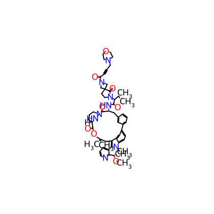 CO[C@@H](C)c1ncccc1-c1c2c3cc(ccc3n1C)-c1cccc(c1)C[C@H](NC(=O)C(C(C)C)N1CCC3(CN(C(=O)C#CCN4CCOCC4)C3)C1=O)C(=O)N1CCC[C@H](N1)C(=O)OCC(C)(C)C2